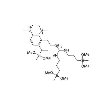 CO[Si](C)(CCCNC(NCCC[Si](C)(OC)OC)[SiH2]CCc1c(C(C)[Si](C)(OC)OC)ccc([SiH](C)C)c1[SiH](C)C)OC